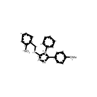 COc1ccc(-c2nnc(SCc3ccccc3[N+](=O)[O-])n2-c2ccccc2)cc1